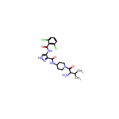 CC(C)C(N)C(=O)N1CCC(NC(=O)c2n[nH]cc2NC(=O)c2c(Cl)cccc2Cl)CC1